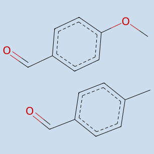 COc1ccc(C=O)cc1.Cc1ccc(C=O)cc1